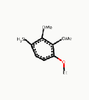 CCOc1ccc([SiH3])c(OC)c1OC